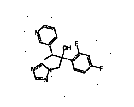 CC(c1cccnc1)C(O)(Cn1cncn1)c1ccc(F)cc1F